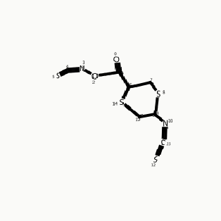 O=C(ON=C=S)C1CSC(N=C=S)CS1